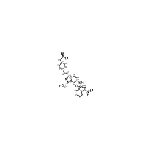 CCNC(=O)c1ccccc1S(=O)(=O)Nc1ccc2c(/C=C/c3ccc(CN(CC)CC)cn3)nn(C(=O)O)c2c1